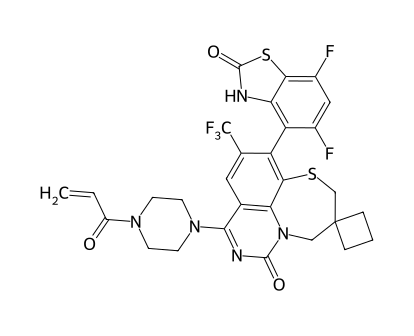 C=CC(=O)N1CCN(c2nc(=O)n3c4c(c(-c5c(F)cc(F)c6sc(=O)[nH]c56)c(C(F)(F)F)cc24)SCC2(CCC2)C3)CC1